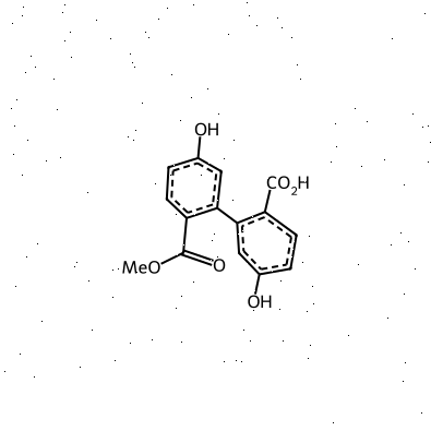 COC(=O)c1ccc(O)cc1-c1cc(O)ccc1C(=O)O